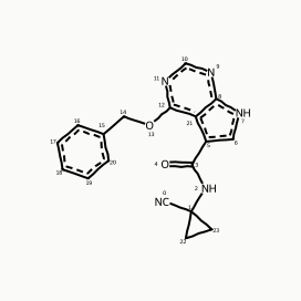 N#CC1(NC(=O)c2c[nH]c3ncnc(OCc4ccccc4)c23)CC1